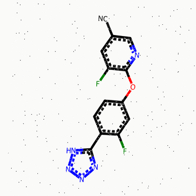 N#Cc1cnc(Oc2ccc(-c3nnn[nH]3)c(F)c2)c(F)c1